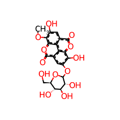 COc1c(O)cc2c(=O)oc3c(O)c(OC4O[C@H](CO)[C@@H](O)[C@H](O)[C@H]4O)cc4c(=O)oc1c2c34